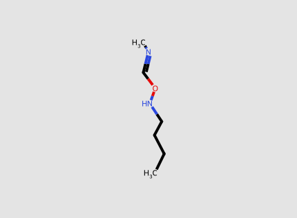 CCCCNO/C=N/C